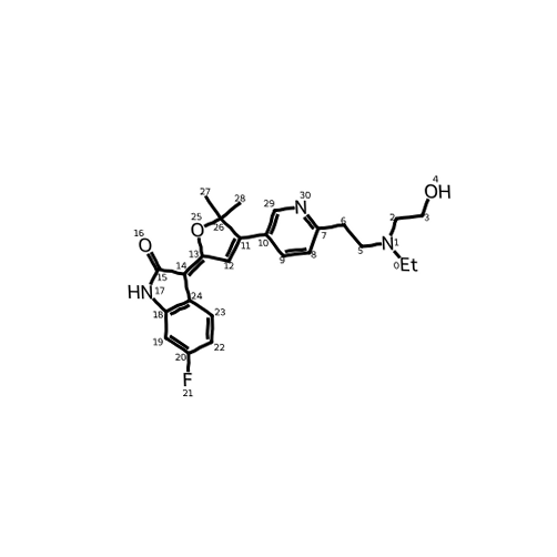 CCN(CCO)CCc1ccc(C2=CC(=C3C(=O)Nc4cc(F)ccc43)OC2(C)C)cn1